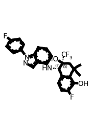 CC1(C)C[C@@](O)(C(F)(F)F)[C@@H](Nc2cccc3c2cnn3-c2ccc(F)cc2)c2ccc(F)c(O)c21